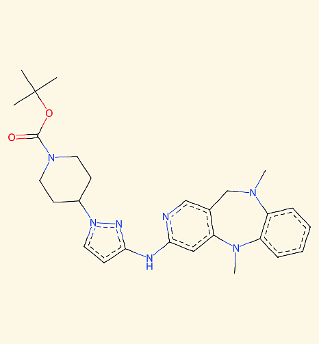 CN1Cc2cnc(Nc3ccn(C4CCN(C(=O)OC(C)(C)C)CC4)n3)cc2N(C)c2ccccc21